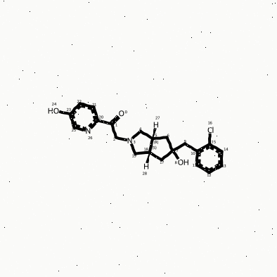 O=C(CN1C[C@@H]2CC(O)(Cc3ccccc3Cl)C[C@@H]2C1)c1ccc(O)cn1